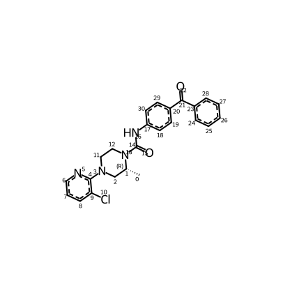 C[C@@H]1CN(c2ncccc2Cl)CCN1C(=O)Nc1ccc(C(=O)c2ccccc2)cc1